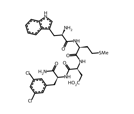 CSCC[C@H](NC(=O)[C@H](N)Cc1c[nH]c2ccccc12)C(=O)N[C@@H](CC(=O)O)C(=O)N[C@@H](Cc1cc(Cl)cc(Cl)c1)C(N)=O